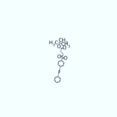 CC(C)(C)OC(=O)CCS(=O)(=O)c1ccc(C#Cc2ccccc2)cc1